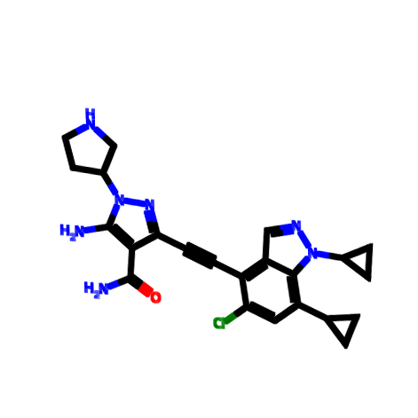 NC(=O)c1c(C#Cc2c(Cl)cc(C3CC3)c3c2cnn3C2CC2)nn(C2CCNC2)c1N